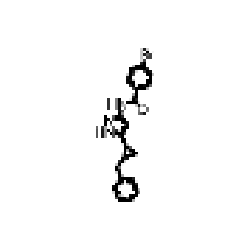 O=C(Nc1cc(C2CC2Cc2ccccc2)[nH]n1)c1ccc(Br)cc1